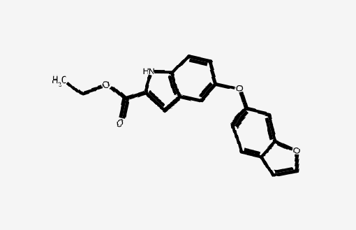 CCOC(=O)c1cc2cc(Oc3ccc4ccoc4c3)ccc2[nH]1